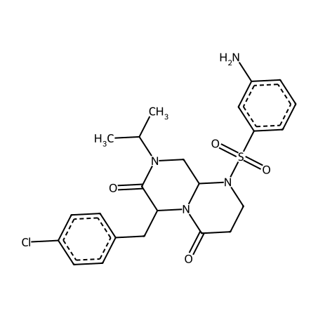 CC(C)N1CC2N(C(=O)CCN2S(=O)(=O)c2cccc(N)c2)C(Cc2ccc(Cl)cc2)C1=O